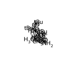 CC(C)(C)C(=O)OC[C@@H](NC(=O)N[C@H](C(=O)N1C[C@H]2[C@@H]([C@H]1C(=O)NC(CC1CCC1)C(=O)C(N)=O)C2(C)C)C(C)(C)C)C(C)(C)C